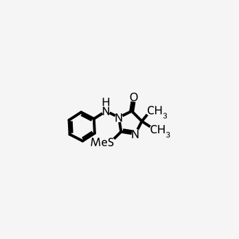 CSC1=NC(C)(C)C(=O)N1Nc1ccccc1